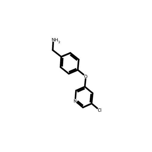 NCc1ccc(Oc2cncc(Cl)c2)cc1